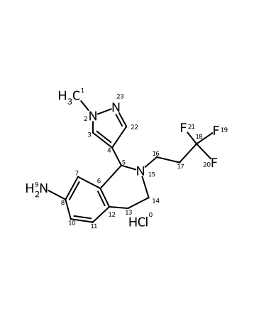 Cl.Cn1cc(C2c3cc(N)ccc3CCN2CCC(F)(F)F)cn1